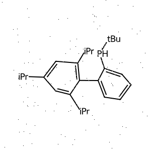 CC(C)c1cc(C(C)C)c(-c2ccccc2PC(C)(C)C)c(C(C)C)c1